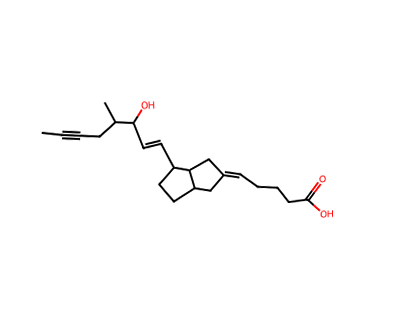 CC#CCC(C)C(O)/C=C/C1CCC2C/C(=C\CCCC(=O)O)CC12